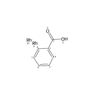 O=C(O)c1ccccc1.[Rh].[Rh]